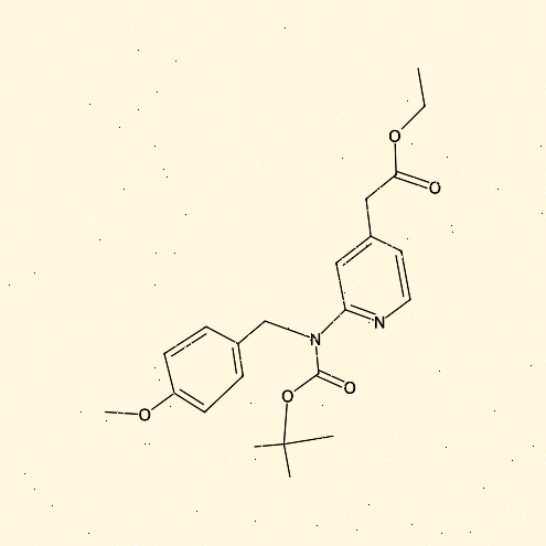 CCOC(=O)Cc1ccnc(N(Cc2ccc(OC)cc2)C(=O)OC(C)(C)C)c1